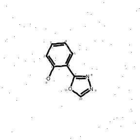 [O]c1ccccc1-c1nnco1